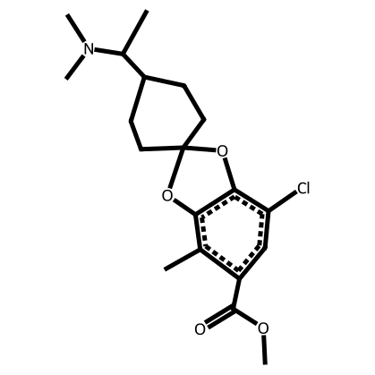 COC(=O)c1cc(Cl)c2c(c1C)OC1(CCC(C(C)N(C)C)CC1)O2